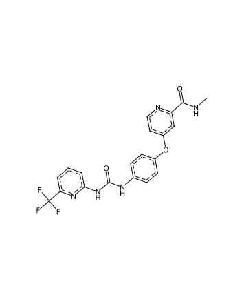 CNC(=O)c1cc(Oc2ccc(NC(=O)Nc3cccc(C(F)(F)F)n3)cc2)ccn1